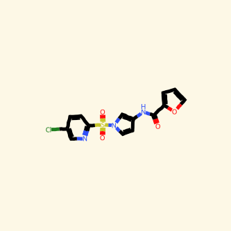 O=C(Nc1ccn(S(=O)(=O)c2ccc(Cl)cn2)c1)c1ccco1